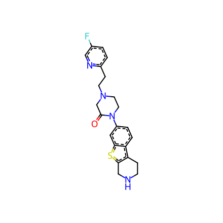 O=C1CN(CCc2ccc(F)cn2)CCN1c1ccc2c3c(sc2c1)CNCC3